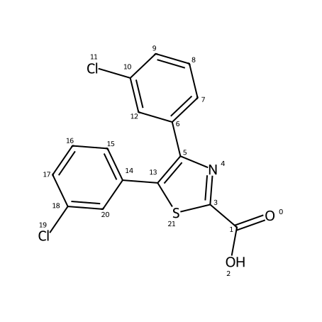 O=C(O)c1nc(-c2cccc(Cl)c2)c(-c2cccc(Cl)c2)s1